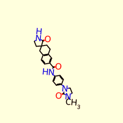 CN1CCN(c2ccc(NC(=O)c3ccc4c(c3)CCC3(CCNC3=O)C4)cc2)C1=O